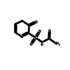 NC(=O)NS(=O)(=O)C1=NC=CCC1=O